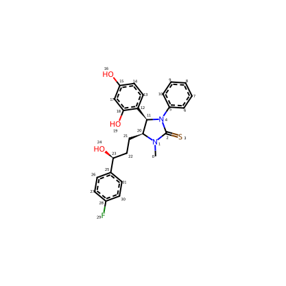 CN1C(=S)N(c2ccccc2)[C@H](c2ccc(O)cc2O)[C@@H]1CC[C@H](O)c1ccc(F)cc1